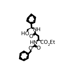 CCOC(=O)[C@H](CC(=O)N[C@@H](CO)c1ccccc1)NC(=O)OCc1ccccc1